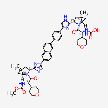 COC(=O)N[C@H](C(=O)N1[C@H]2C[C@]2(C)C[C@H]1c1nc(-c2ccc3cc(-c4ccc(-c5c[nH]c([C@@H]6C[C@]7(C)C[C@@H]7N6C(=O)[C@@H](NC(=O)O)C6CCOCC6)n5)cc4)ccc3c2)c[nH]1)C1CCOCC1